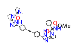 COC(=O)N[C@@H](C(=O)N1CCC[C@H]1c1ncc(-c2ccc(C#Cc3ccc(-c4cnc([C@@H]5CCCN5C(=O)[C@@H]5CCCN5C)[nH]4)cc3)cc2)[nH]1)c1ccccc1